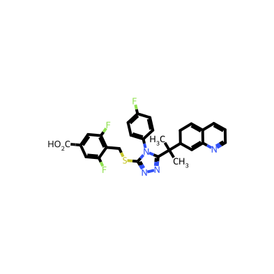 CC(C)(c1nnc(SCc2c(F)cc(C(=O)O)cc2F)n1-c1ccc(F)cc1)C1C=c2ncccc2=CC1